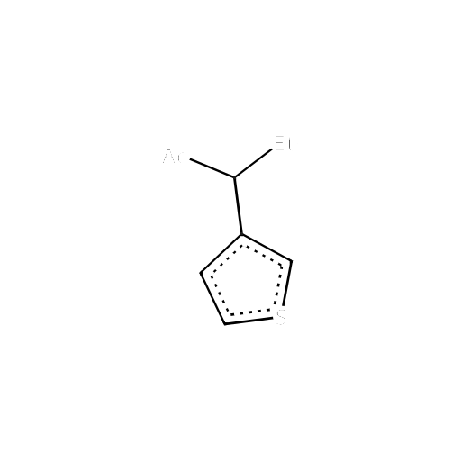 C[CH]C(C(C)=O)c1ccsc1